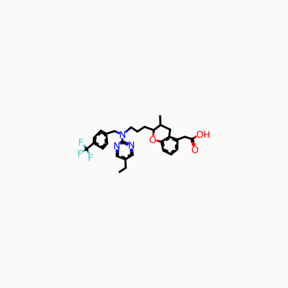 CCc1cnc(N(CCCC2Oc3cccc(CC(=O)O)c3CC2C)Cc2ccc(C(F)(F)F)cc2)nc1